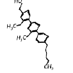 CCCCCCc1ccc(-c2ccc(-c3ccc(CCO)cc3CC)cc2CC)cc1